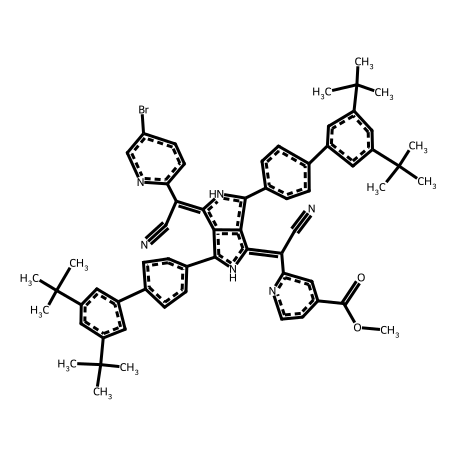 COC(=O)c1ccnc(/C(C#N)=c2\[nH]c(-c3ccc(-c4cc(C(C)(C)C)cc(C(C)(C)C)c4)cc3)c3/c(=C(\C#N)c4ccc(Br)cn4)[nH]c(-c4ccc(-c5cc(C(C)(C)C)cc(C(C)(C)C)c5)cc4)c23)c1